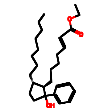 CCCCCCCC[C@H]1CCC(O)(c2ccccc2)[C@@H]1CCCCC=CC(=O)OCC